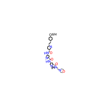 COc1ccc(/C=C/c2ccc(C(=O)Nc3cc(C(=O)Nc4cc(C(=O)NCCN5CCOCC5)n(C(C)C)c4)n(C)c3)cn2)cc1